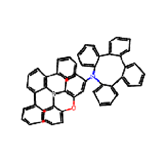 c1ccc(-c2cccc(-c3ccccc3)c2B2c3ccccc3Oc3cc(-n4c5ccccc5c5ccccc5c5ccccc5c5ccccc54)ccc32)cc1